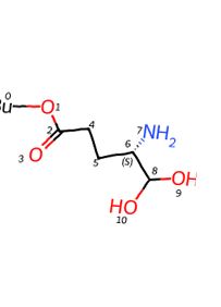 CC(C)(C)OC(=O)CC[C@H](N)C(O)O